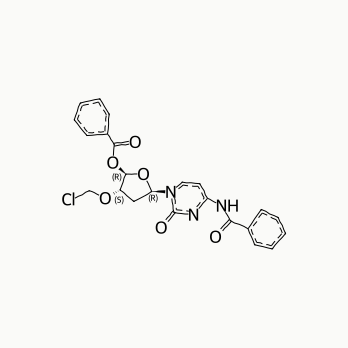 O=C(Nc1ccn([C@H]2C[C@H](OCCl)[C@@H](OC(=O)c3ccccc3)O2)c(=O)n1)c1ccccc1